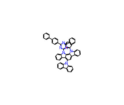 c1ccc(-c2ccc(-c3nc(-c4ccccc4)nc(-n4c5ccccc5c5c(-n6c7ccccc7c7ccccc76)cc6c7ccccc7n(-c7ccccc7)c6c54)n3)cc2)cc1